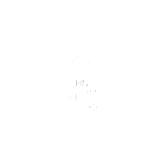 CC(=O)C(Cl)C(=O)NCc1ccccc1